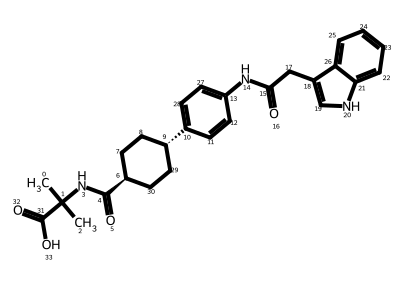 CC(C)(NC(=O)[C@H]1CC[C@H](c2ccc(NC(=O)Cc3c[nH]c4ccccc34)cc2)CC1)C(=O)O